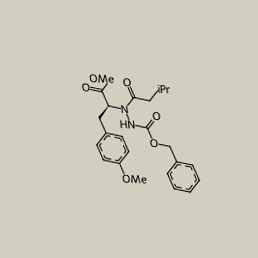 COC(=O)[C@H](Cc1ccc(OC)cc1)N(NC(=O)OCc1ccccc1)C(=O)CC(C)C